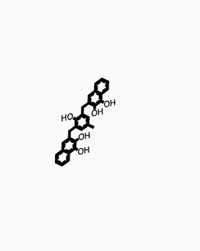 Cc1cc(Cc2cc3ccccc3c(O)c2O)c(O)c(Cc2cc3ccccc3c(O)c2O)c1